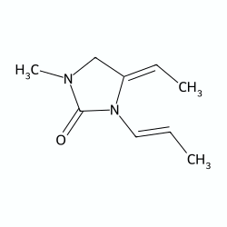 C/C=C1/CN(C)C(=O)N1/C=C/C